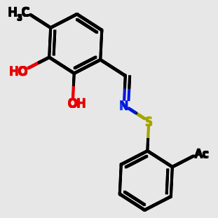 CC(=O)c1ccccc1S/N=C/c1ccc(C)c(O)c1O